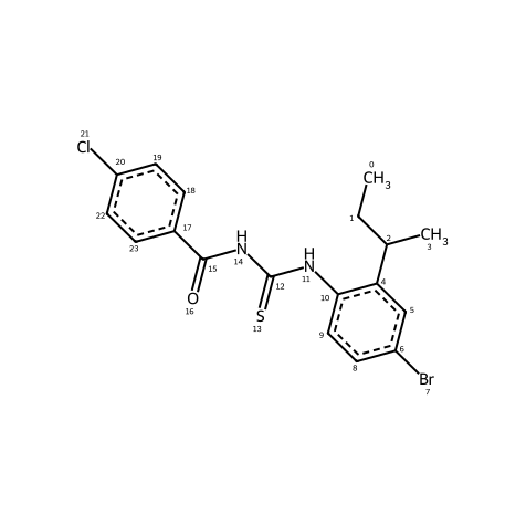 CCC(C)c1cc(Br)ccc1NC(=S)NC(=O)c1ccc(Cl)cc1